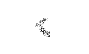 NS(=O)(=O)c1ccc(/C=C/c2ccc3c(c2)NC(=O)CO3)c(C(F)(F)F)c1